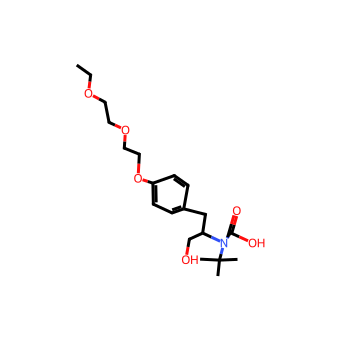 CCOCCOCCOc1ccc(CC(CO)N(C(=O)O)C(C)(C)C)cc1